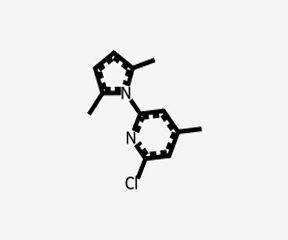 Cc1cc(Cl)nc(-n2c(C)ccc2C)c1